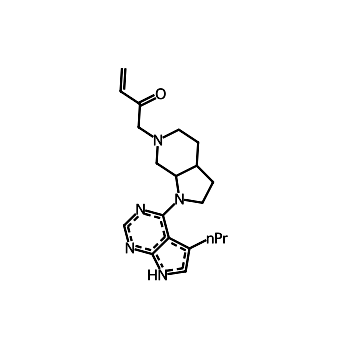 C=CC(=O)CN1CCC2CCN(c3ncnc4[nH]cc(CCC)c34)C2C1